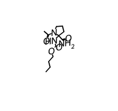 CCCCOC(=O)NC1(C(N)=O)CCCN1C(C)=O